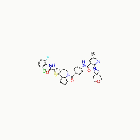 CCc1cnc(N2CC3(CCOCC3)C2)c(C(=O)Nc2ccc(C(=O)N3CCc4cc(C(=O)Nc5c(F)cccc5Cl)sc4-c4ccccc43)cc2)c1